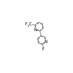 Fc1ccc(-c2cccc(C(F)(F)F)n2)cn1